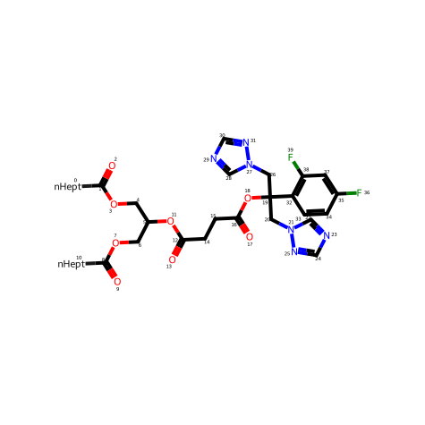 CCCCCCCC(=O)OCC(COC(=O)CCCCCCC)OC(=O)CCC(=O)OC(Cn1cncn1)(Cn1cncn1)c1ccc(F)cc1F